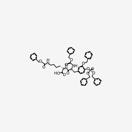 O=C(NCCCC[C@H](NC(=O)[C@H](Cc1ccc(OP(=O)(OCc2ccccc2)OCc2ccccc2)c(OCc2ccccc2)c1)NC(=O)OCc1ccccc1)C(=O)O)OCc1ccccc1